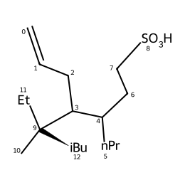 C=CCC(C(CCC)CCS(=O)(=O)O)C(C)(CC)[C@H](C)CC